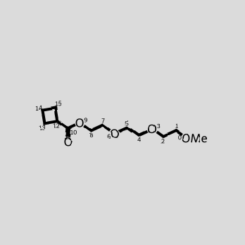 COCCOCCOCCOC(=O)C1CCC1